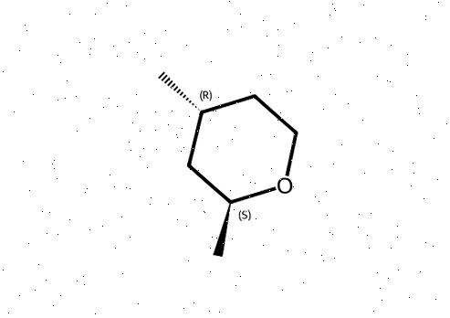 C[C@@H]1CCO[C@@H](C)C1